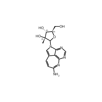 C[C@]1(O)C(n2cc3c4c(ncnc42)N=C(N)C=C3)O[C@H](CO)[C@H]1O